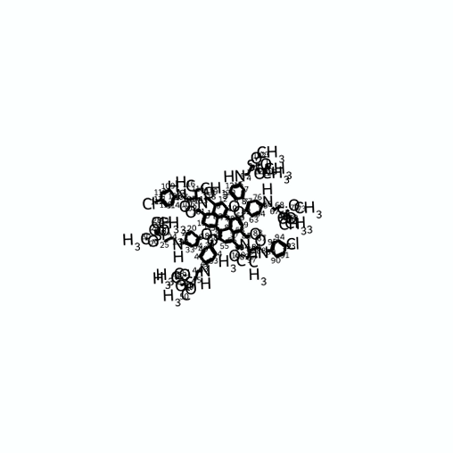 CO[Si](CCNc1ccc(Oc2cc3c4c(cc(Oc5ccc(NCC[Si](OC)(OC)OC)cc5)c5c6c(Oc7ccc(NCC[Si](OC)(OC)OC)cc7)cc7c8c(cc(Oc9ccc(NCC[Si](OC)(OC)OC)cc9)c(c2c45)c86)C(=O)N(C(C(=O)Nc2ccc(Cl)cc2)C(C)C)C7=O)C(=O)N(C(C(=O)Nc2ccc(Cl)cc2)C(C)C)C3=O)cc1)(OC)OC